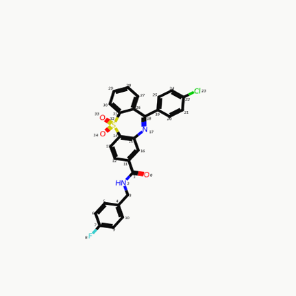 O=C(NCc1ccc(F)cc1)c1ccc2c(c1)N=C(c1ccc(Cl)cc1)c1ccccc1S2(=O)=O